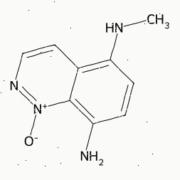 CNc1ccc(N)c2c1ccn[n+]2[O-]